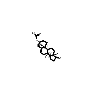 CCC(=O)O[C@H]1CC[C@@]2(CO)C(=CC[C@@H]3[C@@H]2CC[C@]2(C)C(=O)CC[C@@H]32)C1